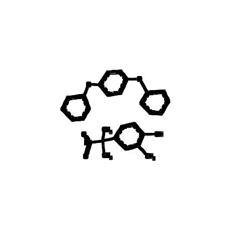 Cc1cc(C(C)(C)[SH](=O)=O)ccc1O.c1ccc(Oc2ccc(Oc3ccccc3)cc2)cc1